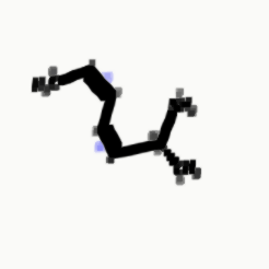 C/C=C\C=C/[C@@H](C)N